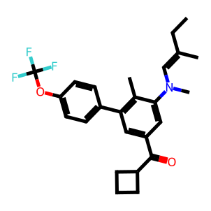 CC/C(C)=C/N(C)c1cc(C(=O)C2CCC2)cc(-c2ccc(OC(F)(F)F)cc2)c1C